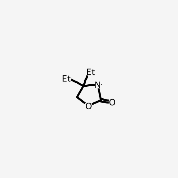 CCC1(CC)COC(=O)[N]1